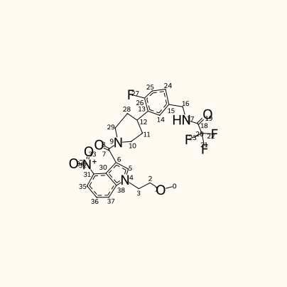 COCCn1cc(C(=O)N2CCC(c3cc(CNC(=O)C(F)(F)F)ccc3F)CC2)c2c([N+](=O)[O-])cccc21